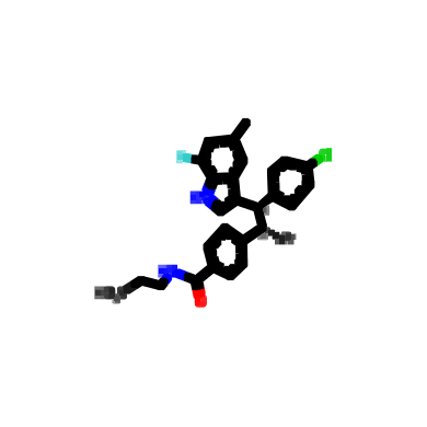 CCC[C@H](c1ccc(C(=O)NCCS(=O)(=O)O)cc1)[C@H](c1ccc(Cl)cc1)c1c[nH]c2c(F)cc(C)cc12